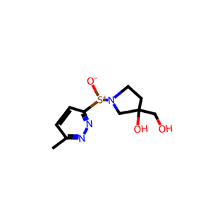 Cc1ccc([S+]([O-])N2CCC(O)(CO)C2)nn1